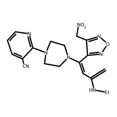 C=C(/C=C(\c1nonc1C[N+](=O)[O-])N1CCN(c2ncccc2C#N)CC1)NCC